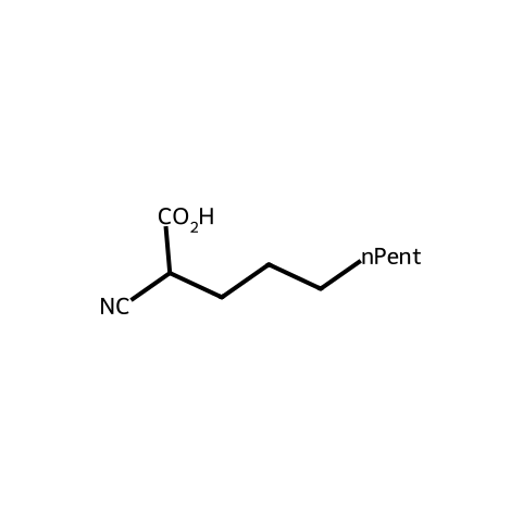 CCCCCCCCC(C#N)C(=O)O